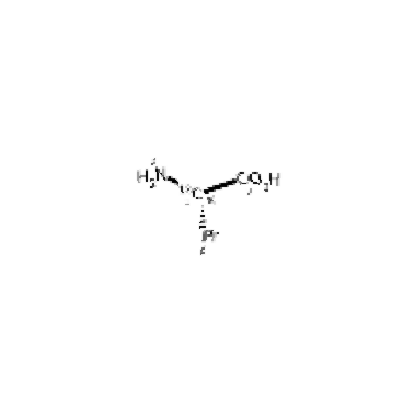 C[13CH]([13CH3])[13C@H](N)C(=O)O